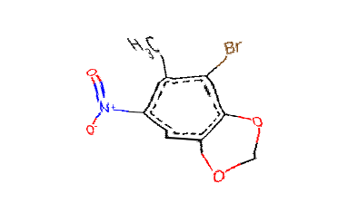 Cc1c([N+](=O)[O-])cc2c(c1Br)OCO2